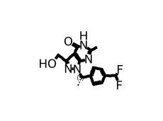 Cc1nc2c(c(CO)nn2[C@@H](C)c2ccc(C(F)F)cc2)c(=O)[nH]1